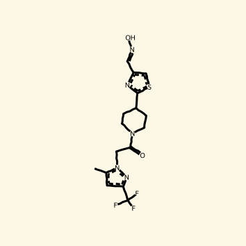 Cc1cc(C(F)(F)F)nn1CC(=O)N1CCC(c2nc(C=NO)cs2)CC1